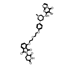 CN1C[C@H](Nc2nc3sccn3c(=O)c2Br)C[C@H](c2ccc(OCCOCCOc3cccc4c3C(=O)N(C3CCC(=O)NC3=O)C4=O)cc2)C1